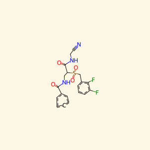 N#CCNC(=O)C(CNC(=O)c1ccccc1)S(=O)(=O)Cc1cccc(F)c1F